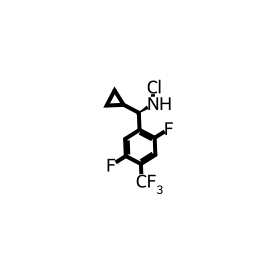 Fc1cc(C(F)(F)F)c(F)cc1[C@H](NCl)C1CC1